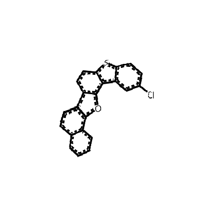 Clc1ccc2sc3ccc4c5ccc6ccccc6c5oc4c3c2c1